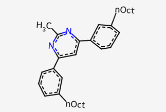 CCCCCCCCc1cccc(-c2cc(-c3cccc(CCCCCCCC)c3)nc(C)n2)c1